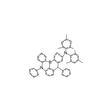 Cc1cc(C)c(N(c2ccc3c(c2)C(c2ccccc2)c2cccc4c2B3c2ccccc2N4c2ccccc2)c2c(C)cc(C)cc2C)c(C)c1